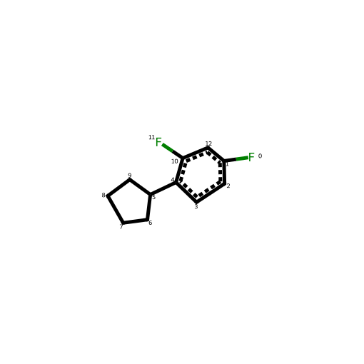 Fc1ccc(C2CCCC2)c(F)c1